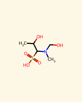 CC(O)C(N(C)CO)S(=O)(=O)O